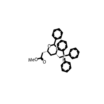 COC(=O)C[C@H]1C[C@@H](C[PH](c2ccccc2)(c2ccccc2)c2ccccc2)OC(c2ccccc2)O1